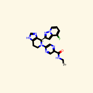 CC(C)CNC(=O)c1cnc(N2CCc3[nH]cnc3[C@H]2c2cc3c(F)cccn3n2)cn1